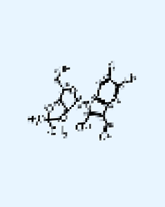 CC1(C)OC2C(O1)[C@@H](CO)O[C@H]2n1c(Cl)c(C=O)c2cc(Cl)c(Cl)cc21